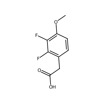 COc1ccc(CC(=O)O)c(F)c1F